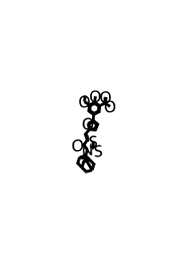 COC(=O)c1cc(-c2ccc(C=C3SC(=S)N(C4C5CC6CC(C5)CC4C6)C3=O)o2)cc(OC)c1OC